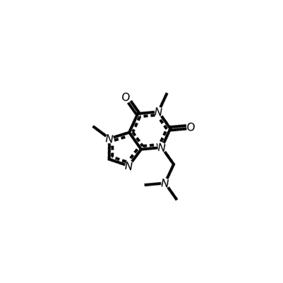 CN(C)Cn1c(=O)n(C)c(=O)c2c1ncn2C